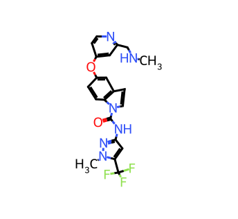 CNCc1cc(Oc2ccc3c(ccn3C(=O)Nc3cc(C(F)(F)F)n(C)n3)c2)ccn1